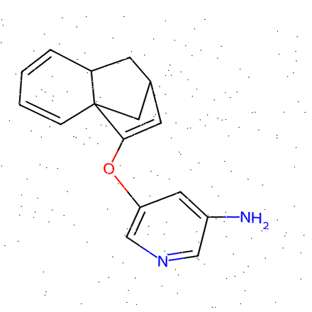 Nc1cncc(OC2=CC3CC4C=CC=CC24C3)c1